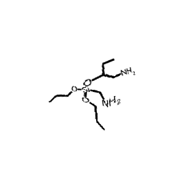 CCCO[Si](CN)(OCCC)OC(CC)CN